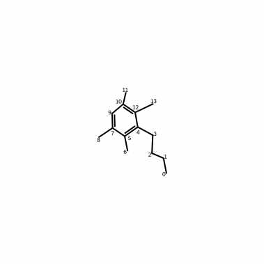 CCCCc1c(C)c(C)cc(C)c1C